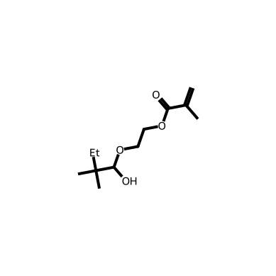 C=C(C)C(=O)OCCOC(O)C(C)(C)CC